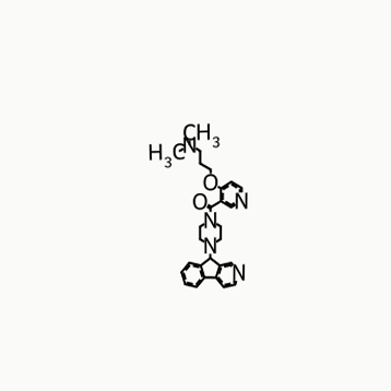 CN(C)CCCOc1ccncc1C(=O)N1CCN(C2c3ccccc3-c3ccncc32)CC1